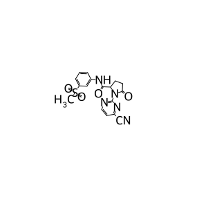 CS(=O)(=O)c1cccc(NC(=O)C2CCC(=O)N2c2nccc(C#N)n2)c1